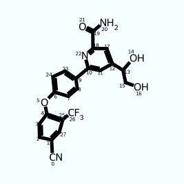 N#Cc1ccc(Oc2ccc(-c3cc(C(O)CO)cc(C(N)=O)n3)cc2)c(C(F)(F)F)c1